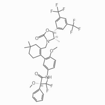 COc1ccc(NC(=O)[C@](OC)(c2ccccc2)C(F)(F)F)cc1C1=C(CN2C(=O)O[C@H](c3cc(C(F)(F)F)cc(C(F)(F)F)c3)[C@@H]2C)CC(C)(C)CC1